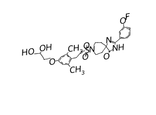 Cc1cc(OCCC(O)CO)cc(C)c1CCS(=O)(=O)N1CCC2(CC1)N=C(c1cccc(OF)c1)NC2=O